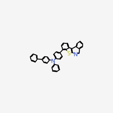 c1ccc(-c2ccc(N(c3ccccc3)c3ccc(-c4cccc5c4sc4ncc6ccccc6c45)cc3)cc2)cc1